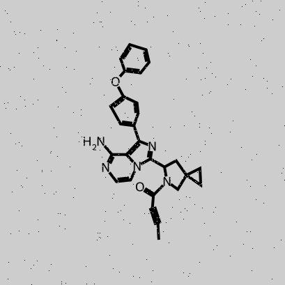 CC#CC(=O)N1CC2(CC2)CC1c1nc(-c2ccc(Oc3ccccc3)cc2)c2c(N)nccn12